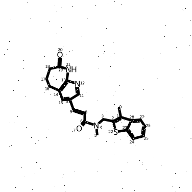 Cc1c(CN(C)C(=O)/C=C/c2cnc3c(c2)CCCC(=O)N3)sc2ccccc12